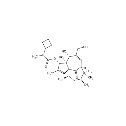 CC1=C[C@]23C(=O)[C@@H](C=C(CO)[C@@H](O)[C@]2(O)[C@H]1OC(=O)N(C)C1CCC1)C(C)(C)[C@@H](C)C[C@H]3C